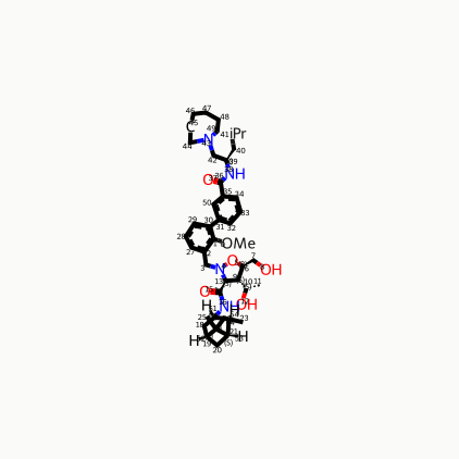 COc1c(CN2O[C@@H](CO)[C@H]([C@H](C)O)[C@H]2C(=O)N[C@H]2C[C@H]3C[C@@H]([C@@H]2C)C3(C)C)cccc1-c1cccc(C(=O)N[C@H](CC(C)C)CN2CCCCCC2)c1